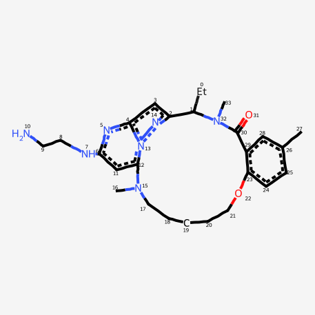 CCC1c2cc3nc(NCCN)cc(n3n2)N(C)CCCCCOc2ccc(C)cc2C(=O)N1C